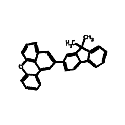 CC1(C)c2ccccc2-c2ccc(-c3cc4c5c(cccc5c3)Oc3ccccc3-4)cc21